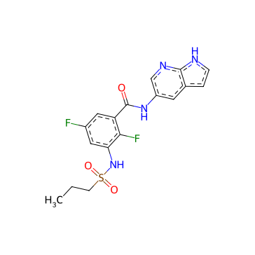 CCCS(=O)(=O)Nc1cc(F)cc(C(=O)Nc2cnc3[nH]ccc3c2)c1F